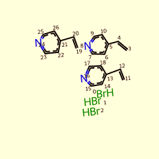 Br.Br.Br.C=Cc1ccncc1.C=Cc1ccncc1.C=Cc1ccncc1